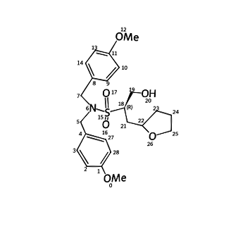 COc1ccc(CN(Cc2ccc(OC)cc2)S(=O)(=O)[C@@H](CO)CC2CCCO2)cc1